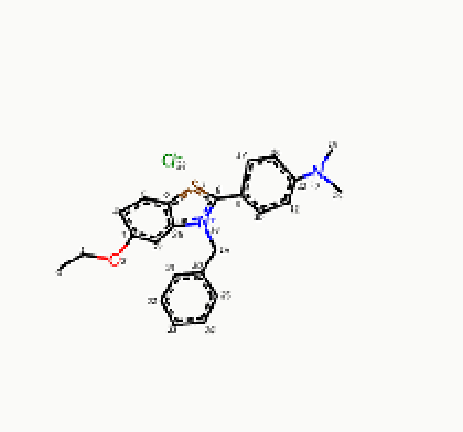 CCOc1ccc2sc(-c3ccc(N(C)C)cc3)[n+](Cc3ccccc3)c2c1.[Cl-]